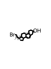 C[C@H](CBr)[C@H]1CCC2C3=CC=C4C[C@@H](O)CC[C@]4(C)C3CC[C@@]21C